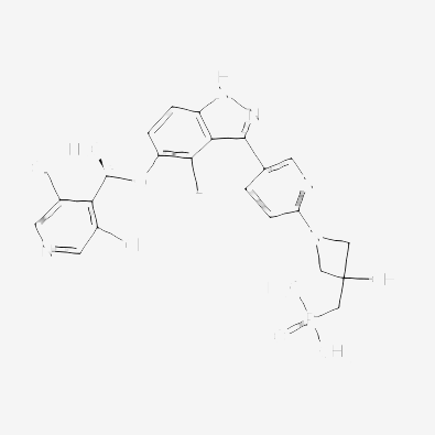 C[C@@H](Oc1ccc2[nH]nc(-c3ccc(N4CC(C)(CP(C)(C)=O)C4)nc3)c2c1F)c1c(Cl)cncc1Cl